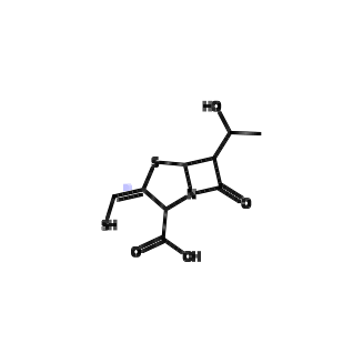 CC(O)C1C(=O)N2C(C(=O)O)/C(=C\S)SC12